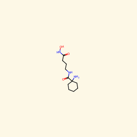 NC1(C(=O)NCCCC(=O)NO)CCCCC1